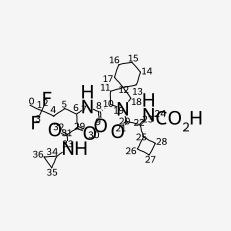 CC(F)(F)CCC(NC(=O)[C@@H]1CC2(CCCCC2)CN1C(=O)C(NC(=O)O)C1CCC1)C(=O)C(=O)NC1CC1